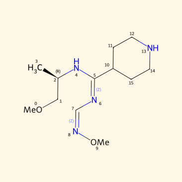 COC[C@@H](C)N/C(=N\C=N/OC)C1CCNCC1